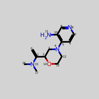 C=C(C1CN(c2ccncc2N)CCO1)N(C)C